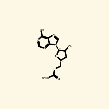 CCCCCCCCCC(=O)OC[C@@H]1CC(O)[C@H](n2cnc3c(O)ncnc32)O1